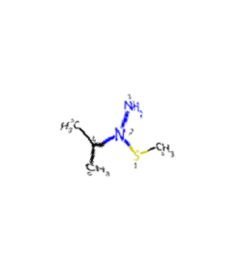 CSN(N)C(C)C